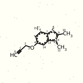 C#CCOc1ccc2sc(C)[n+](C)c2c1.[I-]